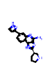 Nc1nc2cc(-c3cc[nH]n3)ccc2c2[nH]c([C@@H]3CCCNC3)nc12